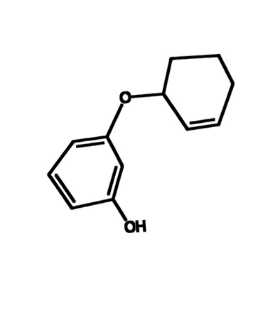 Oc1cccc(OC2C=CCCC2)c1